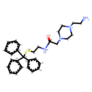 NCCN1CCN(CC(=O)NCCSC(c2ccccc2)(c2ccccc2)c2ccccc2)CC1